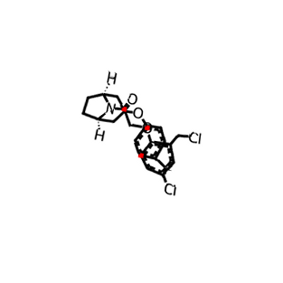 O=C(COc1ccc(Cl)cc1CCl)N1[C@@H]2CC[C@H]1CC(Oc1ccc(F)cc1)C2